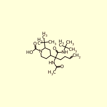 C=CCCC(NC(C)=O)(C(=O)NC(C)(C)C)C1CCN(C(=O)O)C(C(C)(C)C)C1